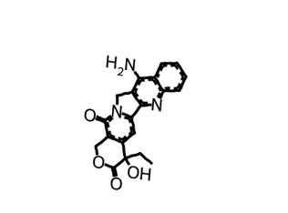 CCC1(O)C(=O)OCc2c1cc1n(c2=O)Cc2c-1nc1ccccc1c2N